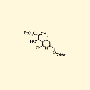 C=C(C(=O)OCC)C(O)c1ccc(COOC)nc1Cl